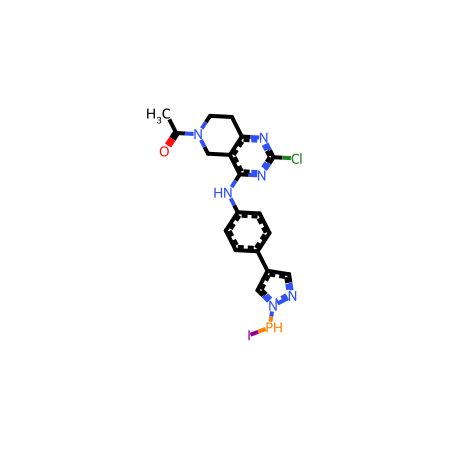 CC(=O)N1CCc2nc(Cl)nc(Nc3ccc(-c4cnn(PI)c4)cc3)c2C1